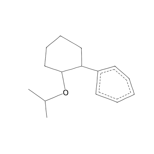 CC(C)OC1CCCCC1c1ccccc1